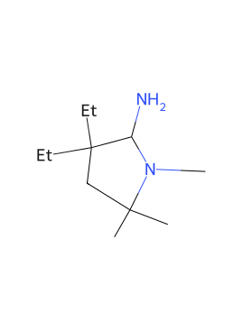 CCC1(CC)CC(C)(C)N(C)C1N